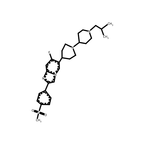 CC(C)CN1CCC(N2CCC(c3cn4cc(-c5ccc(S(C)(=O)=O)cc5)nc4cc3F)CC2)CC1